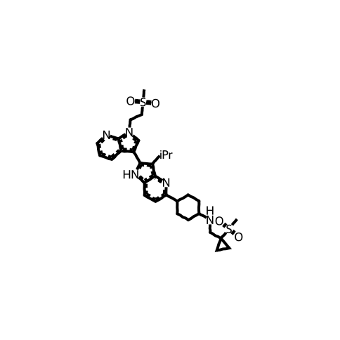 CC(C)c1c(-c2cn(CCS(C)(=O)=O)c3ncccc23)[nH]c2ccc(C3CCC(NCC4(S(C)(=O)=O)CC4)CC3)nc12